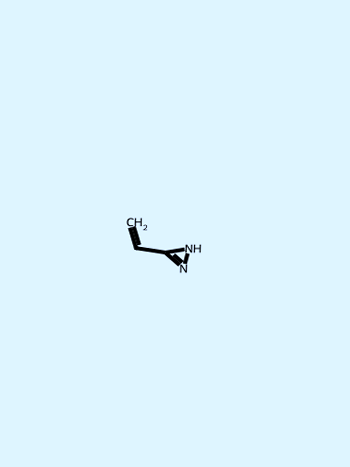 C=CC1=NN1